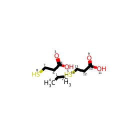 CCC.O=C(O)CCS.O=C(O)CCS